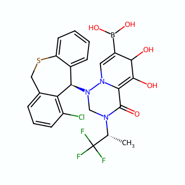 C[C@@H](N1CN([C@@H]2c3ccccc3SCc3cccc(Cl)c32)N2C=C(B(O)O)C(O)C(O)=C2C1=O)C(F)(F)F